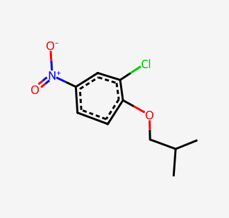 CC(C)COc1ccc([N+](=O)[O-])cc1Cl